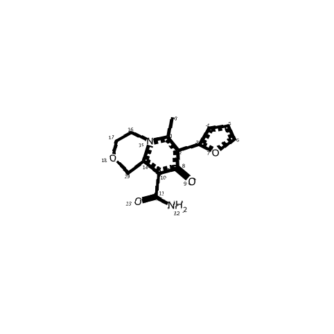 Cc1c(-c2ccco2)c(=O)c(C(N)=O)c2n1CCOC2